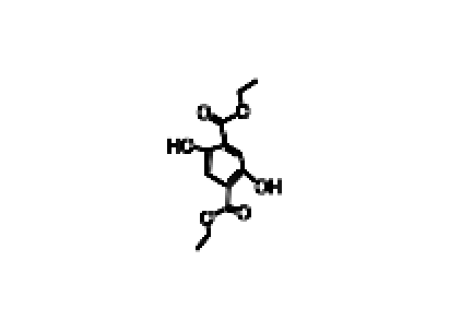 CCOC(=O)c1cc(O)c(C(=O)OCC)cc1O